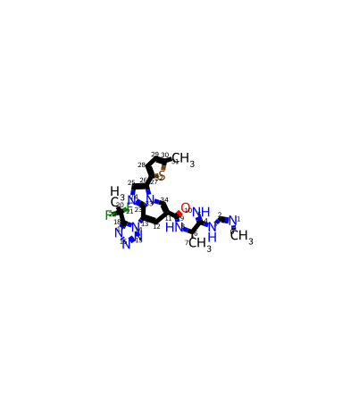 C/N=C\NC(=N)[C@H](C)NC(=O)c1cc(-n2nnnc2C(C)(F)F)c2ncc(-c3ccc(C)s3)n2c1